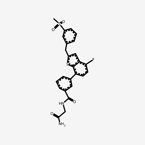 CS(=O)(=O)c1cccc(Cc2cc3c(F)ccc(-c4cccc(C(=O)NCC(N)=O)c4)c3s2)c1